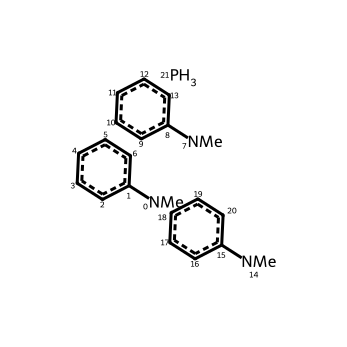 CNc1ccccc1.CNc1ccccc1.CNc1ccccc1.P